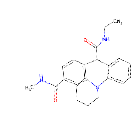 CCNC(=O)C(c1ccc(C(=O)NC)cc1)c1ccccc1N1CCCCC1